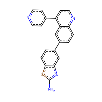 Nc1nc2cc(-c3ccc4nccc(-c5ccncc5)c4c3)ccc2s1